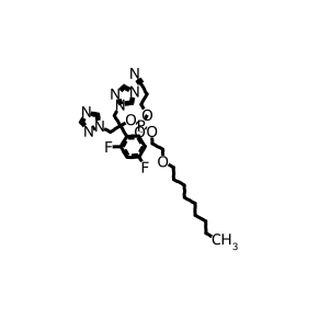 CCCCCCCCCOCCOP(=O)(OCCC#N)OC(Cn1cncn1)(Cn1cncn1)c1ccc(F)cc1F